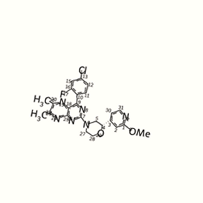 COc1cc([C@H]2CN(c3nc(-c4ccc(Cl)cc4F)c4nc(C)c(C)nc4n3)CCO2)ccn1